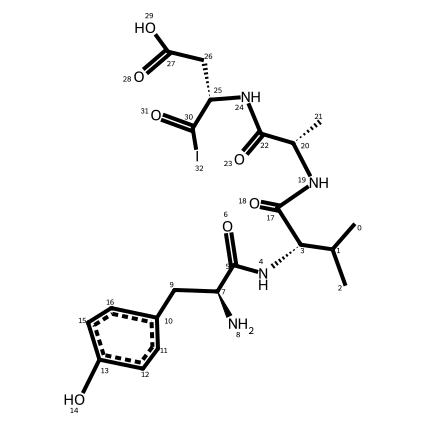 CC(C)[C@H](NC(=O)[C@@H](N)Cc1ccc(O)cc1)C(=O)N[C@@H](C)C(=O)N[C@@H](CC(=O)O)C(=O)I